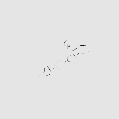 Cc1cc(N2CCN(C(=O)Cn3nc4cnccc4c3-c3ncco3)CC2)ccc1Cl